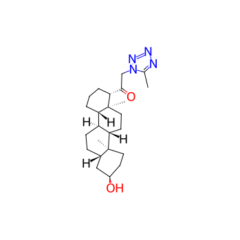 Cc1nnnn1CC(=O)[C@H]1CCC[C@H]2[C@@H]3CC[C@H]4C[C@H](O)CC[C@]4(C)[C@H]3CC[C@]12C